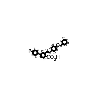 O=C(O)c1ccc(-c2ccc(F)cc2)cc1/C=C/c1ccc(OCc2ccccc2)cc1